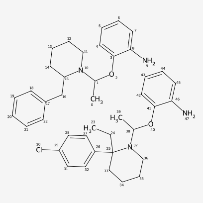 CC(Oc1ccccc1N)N1CCCCC1Cc1ccccc1.CCC1(c2ccc(Cl)cc2)CCCCN1C(C)Oc1ccccc1N